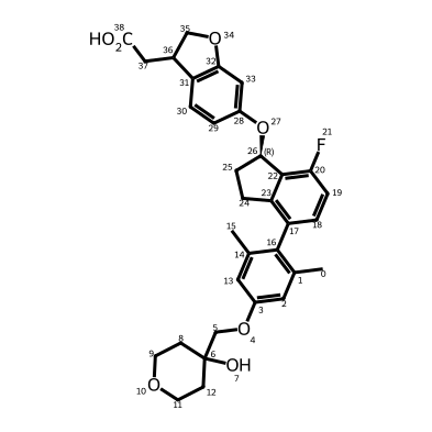 Cc1cc(OCC2(O)CCOCC2)cc(C)c1-c1ccc(F)c2c1CC[C@H]2Oc1ccc2c(c1)OCC2CC(=O)O